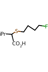 CC(C)C(SCCCCF)C(=O)O